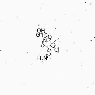 CCCc1cc(Cl)ccc1C1COc2ccc(C(=O)O)cc2N(CC2CC(C)C2CC2=CC(CC(C)SN)C2)C1